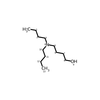 CCCCN([CH]CCCO)CCCC